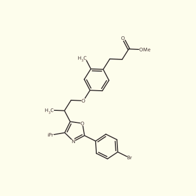 COC(=O)CCc1ccc(OCC(C)c2oc(-c3ccc(Br)cc3)nc2C(C)C)cc1C